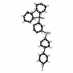 CC1(c2cccc(Nc3ccc(-c4ccc(F)cc4)cc3)c2)c2ccccc2-c2ccccc21